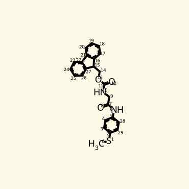 CSc1ccc(NC(=O)CNC(=O)OCC2c3ccccc3-c3ccccc32)cc1